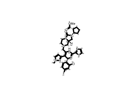 COC(=O)[C@@H]1CCC[C@H]1N1C[C@@H]2CN(CC3=C(c4ccn(C)n4)[C@H](c4ccc(F)cc4Cl)N=C(c4nccs4)N3)CCN2C1=O